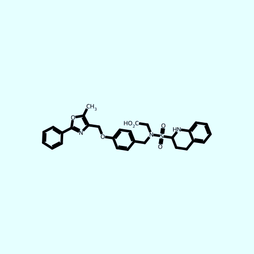 Cc1oc(-c2ccccc2)nc1COc1ccc(CN(CC(=O)O)S(=O)(=O)C2CCc3ccccc3N2)cc1